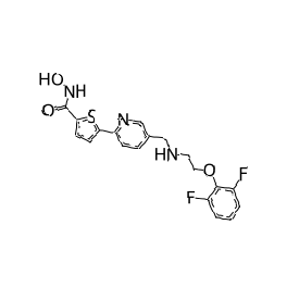 O=C(NO)c1ccc(-c2ccc(CNCCOc3c(F)cccc3F)cn2)s1